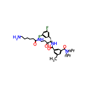 CCCN(CCC)C(=O)c1cc(C)cc(C(=O)N[C@@H](Cc2cc(F)cc(F)c2)[C@@H](O)CCNC(=O)CCCCCN)c1